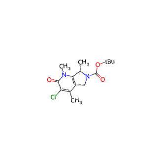 Cc1c2c(n(C)c(=O)c1Cl)C(C)N(C(=O)OC(C)(C)C)C2